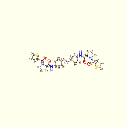 O=C(Nc1ccc(/C=C/c2ccc(NC(=O)[C@@H]3CCCN3C(=O)c3cccs3)cc2)cc1)[C@@H]1CCCN1C(=O)c1cccs1